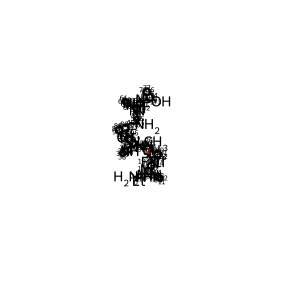 CCC1(N)CN(c2nc(N3CC4CCC(C3)N4)c3cnc(-c4ccc(CN(C)C5(C)CN(c6nc(N7CC8CCC(C7)N8)c7cnc(-c8cc(CCC9(N)CN(c%10nc(N%11CC%12CCC(C%11)N%12)c%11cnc(-c%12cc(O)cc%13ccccc%12%13)c(F)c%11n%10)C9)cc9cccc(Cl)c89)c(F)c7n6)C5)c5cccc(Cl)c45)c(F)c3n2)C1